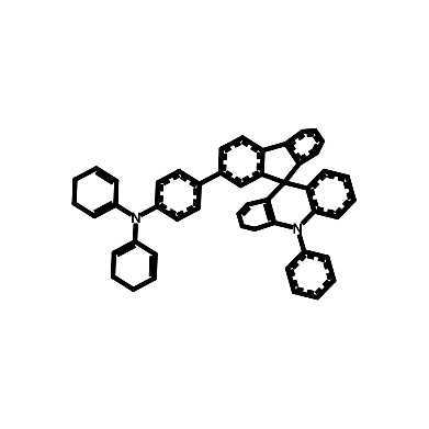 C1=CC(N(C2=CCCC=C2)c2ccc(-c3ccc4c(c3)C3(C5=C(CCC=C5)N(c5ccccc5)c5ccccc53)c3ccccc3-4)cc2)=CCC1